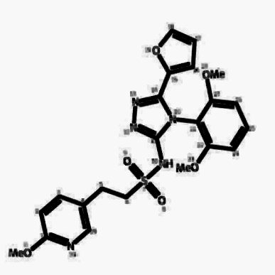 COc1ccc(CCS(=O)(=O)Nc2nnc(-c3ccco3)n2-c2c(OC)cccc2OC)cn1